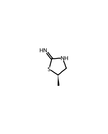 C[C@@H]1CNC(=N)S1